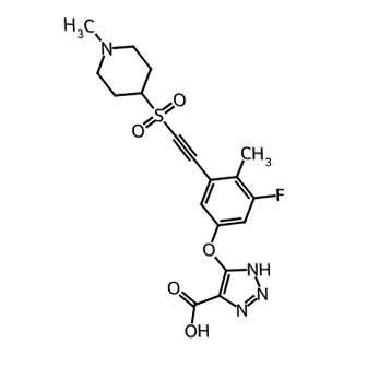 Cc1c(F)cc(Oc2[nH]nnc2C(=O)O)cc1C#CS(=O)(=O)C1CCN(C)CC1